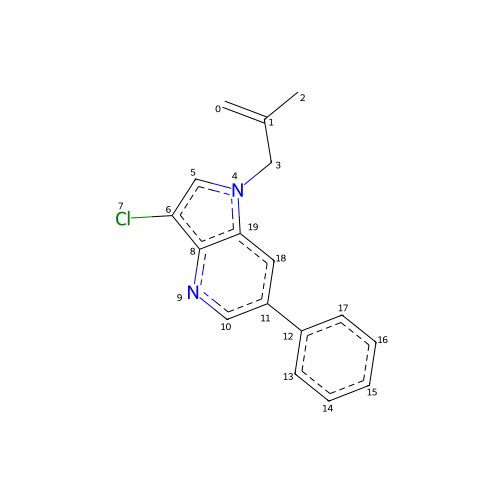 C=C(C)Cn1cc(Cl)c2ncc(-c3ccccc3)cc21